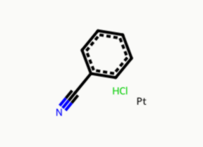 Cl.N#Cc1ccccc1.[Pt]